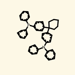 c1ccc(N(c2ccccc2)c2ccc(C3(c4ccc(P(c5ccccc5)c5ccccc5)cc4)CCCCC3)cc2)cc1